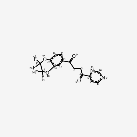 O=C(CCC(=O)c1ccncn1)c1ccc2c(c1)OC(F)(F)C(F)(F)O2